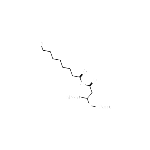 CCCCCOC(CCCCC)CC(=O)OC(=O)CCCCCCCBr